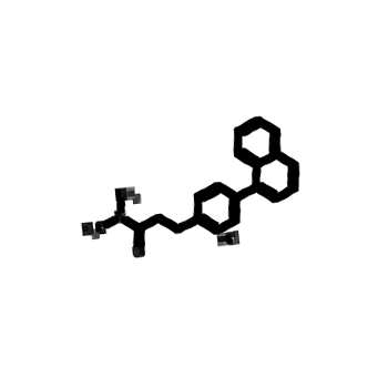 CN(N)C(=O)CCc1ccc(-c2cccc3ccccc23)cc1.Cl